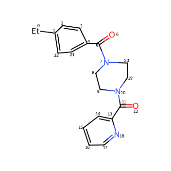 CCc1ccc(C(=O)N2CCN(C(=O)c3ccccn3)CC2)cc1